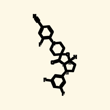 N#Cc1ccc(N2CCC3(CC2)O[C@@H]2CC[C@@H](c4cc(F)cc(F)c4)N2C3=O)c(F)c1